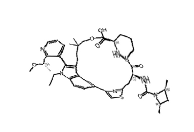 CCn1c(-c2cccnc2[C@H](C)OC)c2c3cc(ccc31)-c1csc(n1)C[C@H](NC(=O)N1[C@H](C)C[C@@H]1C)C(=O)N1CCC[C@@](C(=O)O)(COCC(C)(C)C2)N1